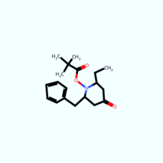 CCC1CC(=O)CC(Cc2ccccc2)N1OC(=O)C(C)(C)C